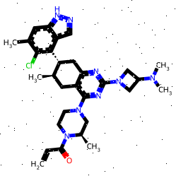 C=CC(=O)N1CCN(c2nc(N3CC(N(C)C)C3)nc3c2C[C@@H](C)[C@H](c2c(Cl)c(C)cc4[nH]ncc24)C3)C[C@H]1C